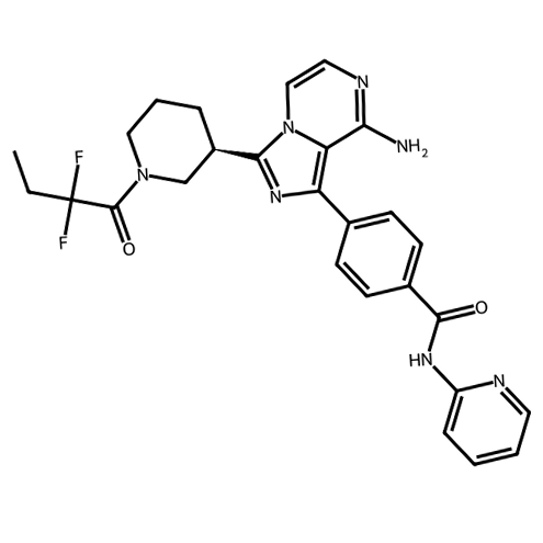 CCC(F)(F)C(=O)N1CCC[C@@H](c2nc(-c3ccc(C(=O)Nc4ccccn4)cc3)c3c(N)nccn23)C1